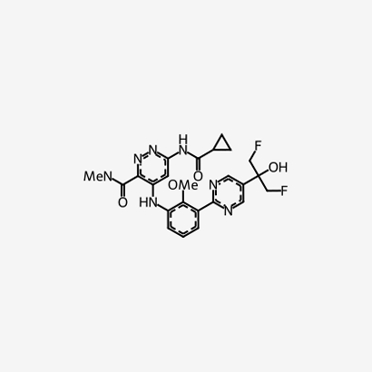 CNC(=O)c1nnc(NC(=O)C2CC2)cc1Nc1cccc(-c2ncc(C(O)(CF)CF)cn2)c1OC